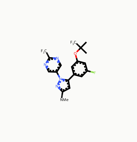 CNc1cc(-c2cc(F)cc(OC(C)(C)C(F)(F)F)c2)n(-c2cnc(C(F)(F)F)nc2)n1